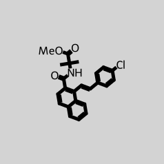 COC(=O)C(C)(C)NC(=O)c1ccc2ccccc2c1C=Cc1ccc(Cl)cc1